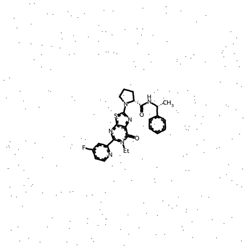 CCn1c(-c2cc(F)ccn2)nc2sc(N3CCC[C@@H]3C(=O)N[C@H](C)c3ccccc3)nc2c1=O